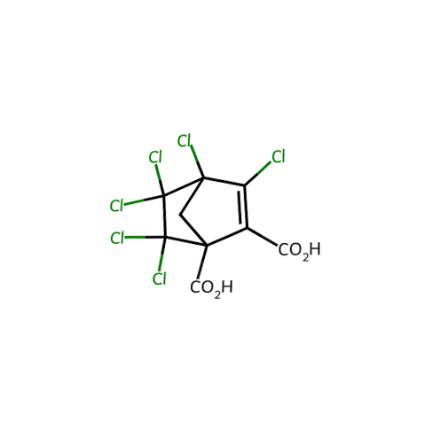 O=C(O)C1=C(Cl)C2(Cl)CC1(C(=O)O)C(Cl)(Cl)C2(Cl)Cl